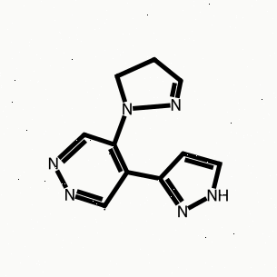 [c]1nncc(N2CCC=N2)c1-c1cc[nH]n1